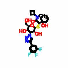 CN(C(=O)C(S[C@@H]1O[C@H](CO)[C@H](O)[C@H](n2cc(-c3cc(F)c(F)c(F)c3)nn2)[C@H]1O)C1(O)CCCCC1)C1CCC1